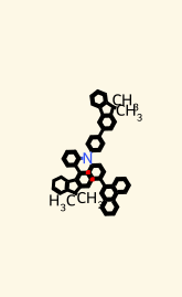 CC1(C)C2=C(CCC=C2)c2c(-c3ccccc3N(c3ccc(-c4ccc5c(c4)-c4ccccc4C5(C)C)cc3)c3ccc(-c4cc5ccccc5c5ccccc45)cc3)cccc21